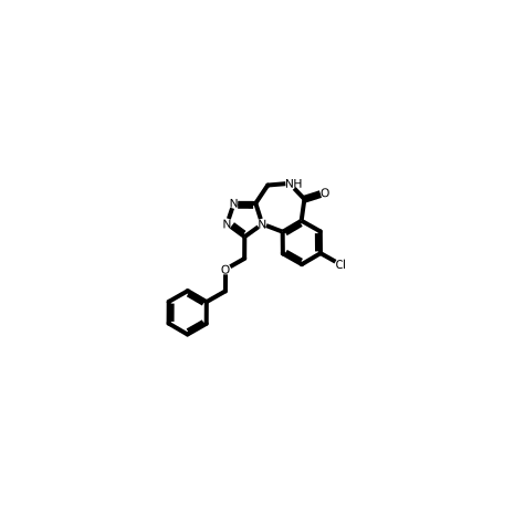 O=C1NCc2nnc(COCc3ccccc3)n2-c2ccc(Cl)cc21